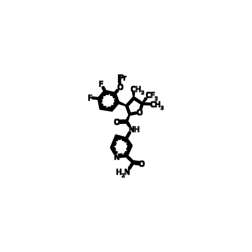 CC(C)Oc1c([C@H]2[C@@H](C)[C@@](C)(C(F)(F)F)O[C@H]2C(=O)Nc2ccnc(C(N)=O)c2)ccc(F)c1F